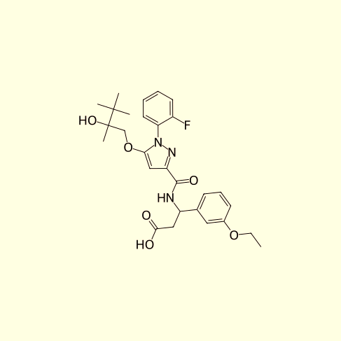 CCOc1cccc(C(CC(=O)O)NC(=O)c2cc(OCC(C)(O)C(C)(C)C)n(-c3ccccc3F)n2)c1